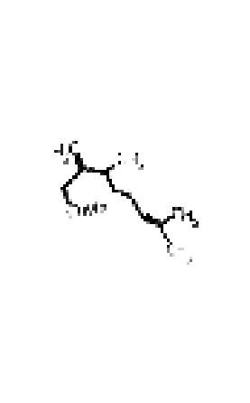 C=C(COC)C(C)CCC=C(C)C